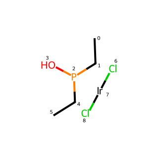 CCP(O)CC.[Cl][Ir][Cl]